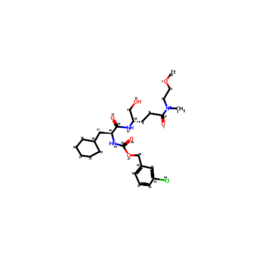 CCOCCN(C)C(=O)CC[C@@H](CO)NC(=O)[C@H](CC1CCCCC1)NC(=O)OCc1cccc(Cl)c1